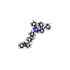 c1ccc(-c2nc(-c3ccc4c(c3)oc3cc(-c5cccc6c5sc5ccccc56)ccc34)nc(-c3cccc4c3c3ccccc3n4-c3ccccc3)n2)cc1